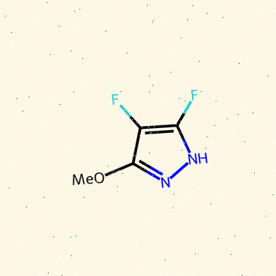 COc1n[nH]c(F)c1F